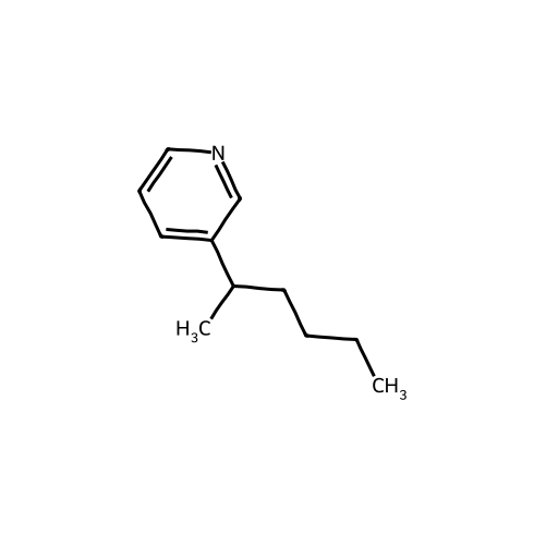 CCCCC(C)c1cccnc1